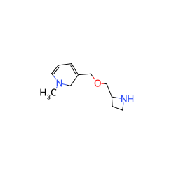 CN1C=CC=C(COCC2CCN2)C1